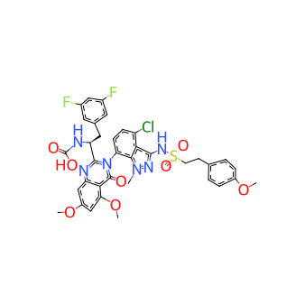 COc1ccc(CCS(=O)(=O)Nc2nn(C)c3c(-n4c([C@H](Cc5cc(F)cc(F)c5)NC(=O)O)nc5cc(OC)cc(OC)c5c4=O)ccc(Cl)c23)cc1